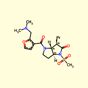 CC(C)[C@H]1C(=O)N(S(C)(=O)=O)[C@H]2CCN(C(=O)c3ccoc3CN(C)C)[C@H]12